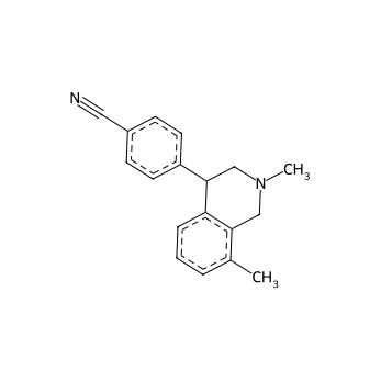 Cc1cccc2c1CN(C)CC2c1ccc(C#N)cc1